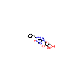 [O-][n+]1cnc2c(ncn2[C@@H]2O[C@H](CO)[C@@H](O)[C@H]2O)c1NCCc1ccccc1